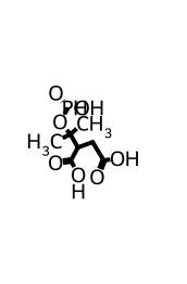 CC(C)(O[PH](=O)O)C(CC(=O)O)C(=O)O